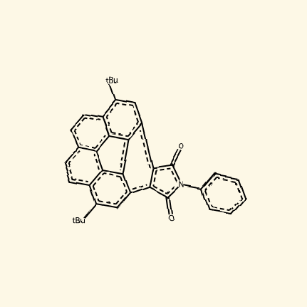 CC(C)(C)c1cc2c3c(=O)n(-c4ccccc4)c(=O)c3c3cc(C(C)(C)C)c4ccc5ccc1c1c5c4c3c21